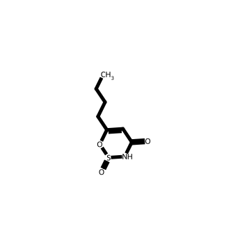 CCCCC1=CC(=O)NS(=O)O1